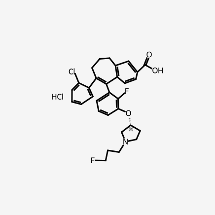 Cl.O=C(O)c1ccc2c(c1)CCCC(c1ccccc1Cl)=C2c1cccc(O[C@@H]2CCN(CCCF)C2)c1F